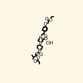 CCOC(=O)COc1ccc(C(=O)CN2CCN(C3CCN(C(=O)OC(OC(=O)CC)C(C)C)CC3)CC2=O)cc1.Cl